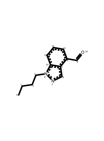 CCCCn1ncc2c(C=O)cccc21